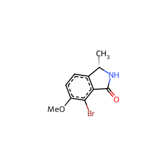 COc1ccc2c(c1Br)C(=O)N[C@H]2C